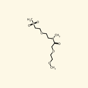 COCCOCC(=O)N(C)CCOCCS(C)(=O)=O